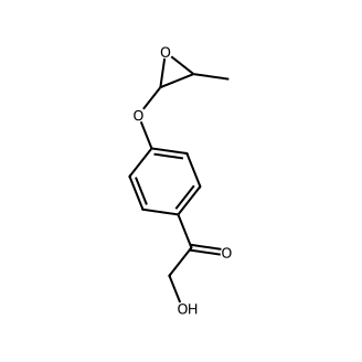 CC1OC1Oc1ccc(C(=O)CO)cc1